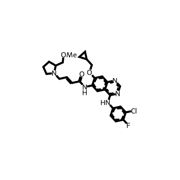 COCC1CCCN1CC=CC(=O)Nc1cc2c(Nc3ccc(F)c(Cl)c3)ncnc2cc1OCC1CC1